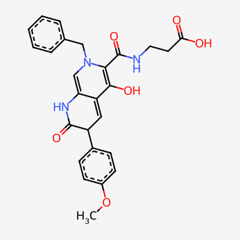 COc1ccc(C2C=C3C(=CN(Cc4ccccc4)C(C(=O)NCCC(=O)O)=C3O)NC2=O)cc1